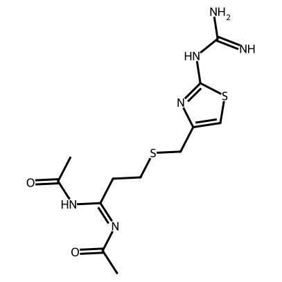 CC(=O)N=C(CCSCc1csc(NC(=N)N)n1)NC(C)=O